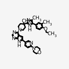 CCOc1ccc(-c2[nH]c(C3(C)CCN(c4ncnc5[nH]c(-c6ccc(N7CCOCC7)nc6)cc45)CC3)nc2C)cc1C